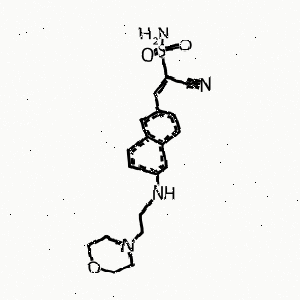 N#C/C(=C\c1ccc2cc(NCCN3CCOCC3)ccc2c1)S(N)(=O)=O